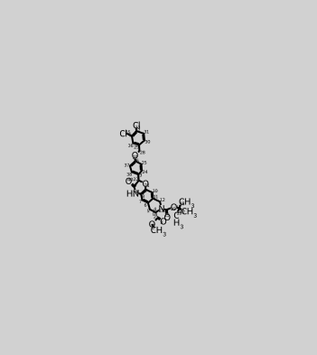 COC(=O)[C@@H]1Cc2cc3c(cc2CN1C(=O)OC(C)(C)C)OC(c1ccc(OCc2ccc(Cl)c(Cl)c2)cc1)C(=O)N3